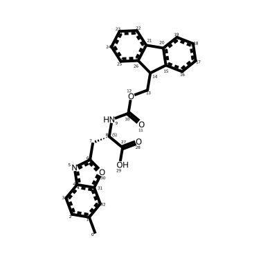 Cc1ccc2nc(C[C@H](NC(=O)OCC3c4ccccc4-c4ccccc43)C(=O)O)oc2c1